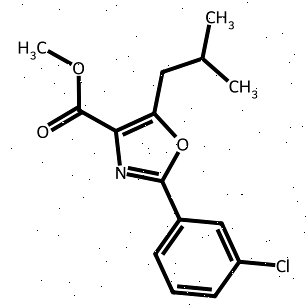 COC(=O)c1nc(-c2cccc(Cl)c2)oc1CC(C)C